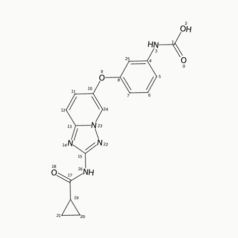 O=C(O)Nc1cccc(Oc2ccc3nc(NC(=O)C4CC4)nn3c2)c1